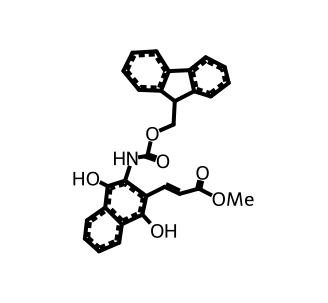 COC(=O)/C=C/c1c(NC(=O)OCC2c3ccccc3-c3ccccc32)c(O)c2ccccc2c1O